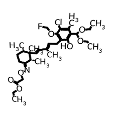 CCOC(=O)CO/N=C1\CC[C@@H](C)[C@](C)(/C=C/C(C)=C/Cc2c(O)c(C(OCC)OCC)c(C)c(Cl)c2OCF)[C@H]1C